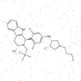 C[C@@H]1Cc2c([nH]c3ccccc23)[C@@H](c2c(F)cc(N[C@@H]3CN(CCCF)C[C@@H]3F)cc2F)N1CC(F)(F)F